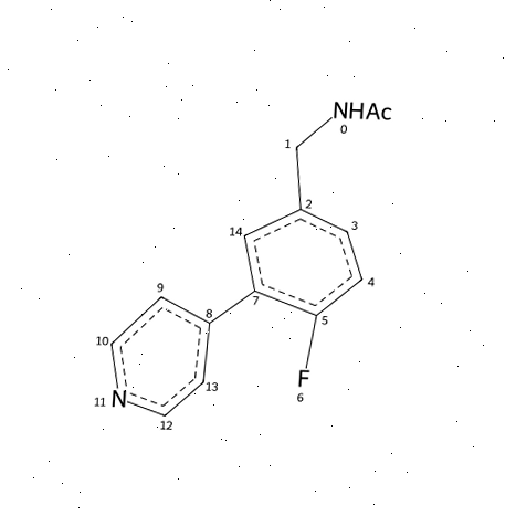 CC(=O)NCc1ccc(F)c(-c2ccncc2)c1